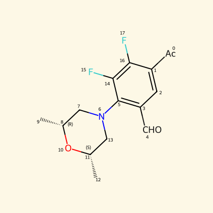 CC(=O)c1cc(C=O)c(N2C[C@@H](C)O[C@@H](C)C2)c(F)c1F